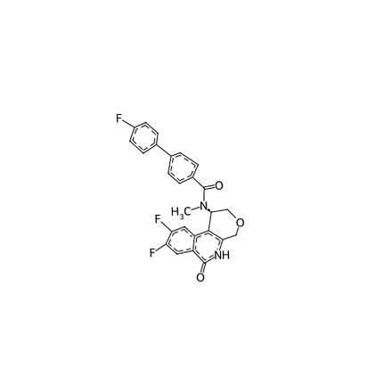 CN(C(=O)c1ccc(-c2ccc(F)cc2)cc1)[C@H]1COCc2[nH]c(=O)c3cc(F)c(F)cc3c21